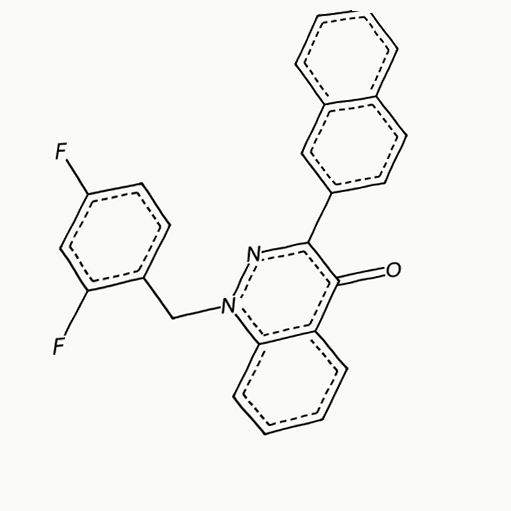 O=c1c(-c2ccc3ccccc3c2)nn(Cc2ccc(F)cc2F)c2ccccc12